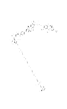 COc1cc2c(cc1OCCCOc1cc3c(cc1OC)C(=O)N1C=C(C4CC4)C[C@H]1C=N3)N=C[C@@H]1CC(c3ccc(NC(=O)[C@H](C)CC(=O)C(NC(=O)CCOCCOCCOCCOCCOCCOCCOCCOCCNC(=O)CCN4C(=O)C=CC4=O)C(C)C)cc3)=CN1C2=O